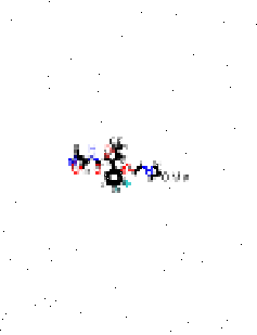 COC1CN(CCOc2c([C@H]3[C@H](C(=O)Nc4conc4C)O[C@@](C)(C(F)(F)F)[C@H]3C)ccc(F)c2F)C1